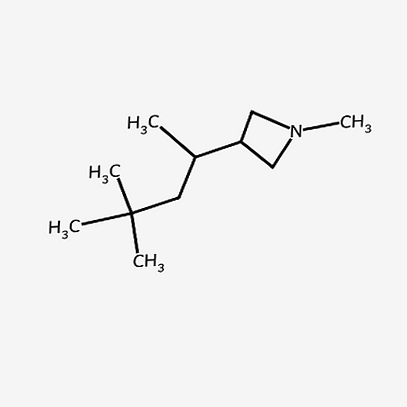 CC(CC(C)(C)C)C1CN(C)C1